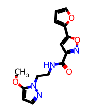 COc1ccnn1CCNC(=O)c1cc(-c2ccco2)on1